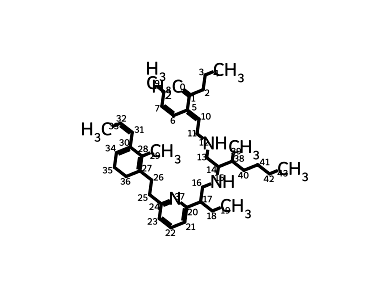 C=C(CCC)C(/C=C\CC)=C/CNCC(NCC(CC)c1cccc(CCC2=C(C)C(/C=C\C)=CCC2)n1)C(C)CCCC